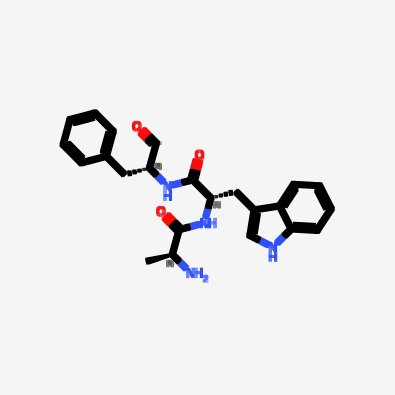 C[C@H](N)C(=O)N[C@@H](Cc1c[nH]c2ccccc12)C(=O)N[C@@H]([C]=O)Cc1ccccc1